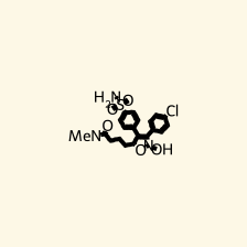 CNC(=O)CCCC1ON(O)C(c2ccc(Cl)cc2)=C1c1ccc(S(N)(=O)=O)cc1